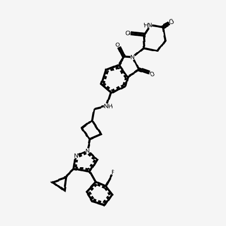 O=C1CCC(N2C(=O)c3ccc(NCC4CC(n5cc(-c6ccccc6F)c(C6CC6)n5)C4)cc3C2=O)C(=O)N1